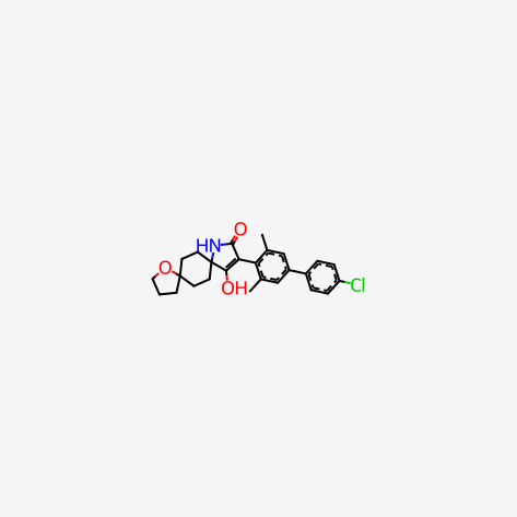 Cc1cc(-c2ccc(Cl)cc2)cc(C)c1C1=C(O)C2(CCC3(CCCO3)CC2)NC1=O